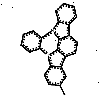 Cc1ccc2c(c1)c1ccc3c4ccccc4n4c5ccccc5n2c1c34